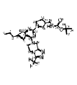 CCCc1cc2c(N3CCn4c(nnc4C(F)(F)F)C3)nc(N3CCC(CNC(=O)OC(C)(C)C)C3)nc2s1